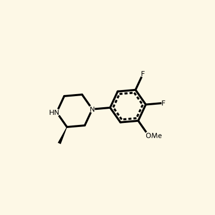 COc1cc(N2CCN[C@H](C)C2)cc(F)c1F